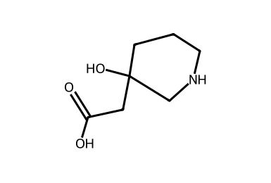 O=C(O)CC1(O)CCCNC1